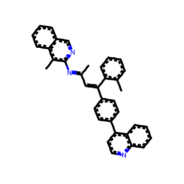 CC(/C=C(/c1ccc(-c2ccnc3ccccc23)cc1)c1ccccc1C)=N\c1ncc2ccccc2c1C